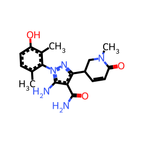 Cc1ccc(O)c(C)c1-n1nc(C2C=CC(=O)N(C)C2)c(C(N)=O)c1N